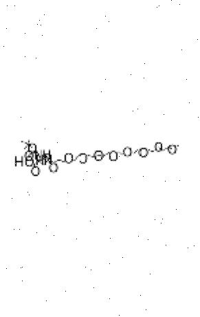 COCCOCCOCCOCCOCCOCCOCCOCCC(=O)NCC(NC(=O)OC(C)(C)C)C(=O)O